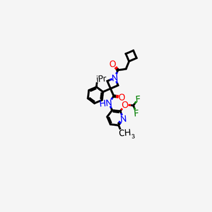 Cc1ccc(NC(=O)C2(c3ccccc3C(C)C)CN(C(=O)CC3CCC3)C2)c(OC(F)F)n1